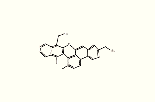 Cc1c2c(c(CC(C)(C)C)c3cnccc13)Oc1cc3cc(CC(C)(C)C)ccc3c3cc[n+](C)c-2c13